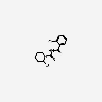 CCC1CCCCN1C(=S)NC(=O)c1ccccc1Cl